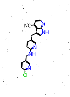 N#Cc1ccnc2[nH]cc(Cc3ccc(NCc4ccc(Cl)nc4)nc3)c12